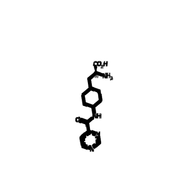 N[C@@H](CC1CCC(NC(=O)c2ccncn2)CC1)C(=O)O